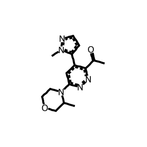 CC(=O)c1nnc(N2CCOCC2C)cc1-c1ccnn1C